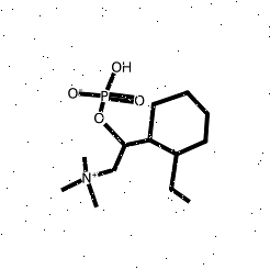 CCC1CCCCC1C(C[N+](C)(C)C)OP(=O)([O-])O